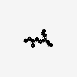 c1ccc(-c2cccc(-c3cc(-c4cccc(-c5cccc(-c6nc(-c7ccc8c(c7)oc7ccccc78)nc(-c7ccc8c(c7)oc7ccccc78)n6)c5)c4)nc(-c4ccccc4)n3)c2)cc1